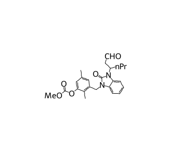 CCCC(CC=O)n1c(=O)n(Cc2cc(C)cc(OC(=O)OC)c2C)c2ccccc21